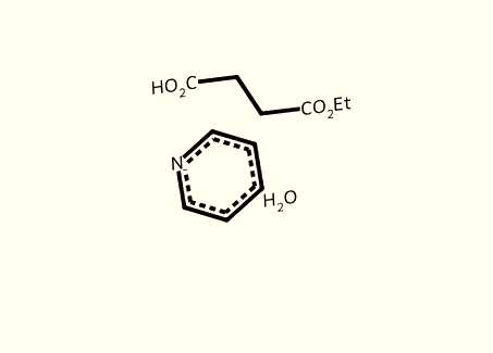 CCOC(=O)CCC(=O)O.O.c1ccncc1